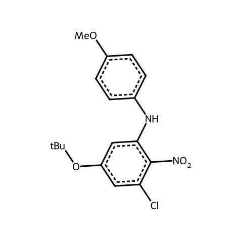 COc1ccc(Nc2cc(OC(C)(C)C)cc(Cl)c2[N+](=O)[O-])cc1